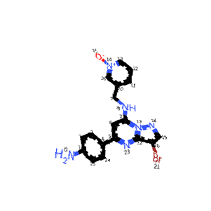 Nc1ccc(-c2cc(NCc3ccc[n+]([O-])c3)n3ncc(Br)c3n2)cc1